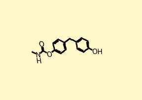 CNC(=O)Oc1ccc(Cc2ccc(O)cc2)cc1